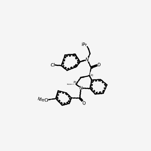 COc1ccc(C(=O)N2c3ccccc3[C@H](C(=O)N(CC(C)C)c3ccc(Cl)cc3)C[C@H]2C)cc1